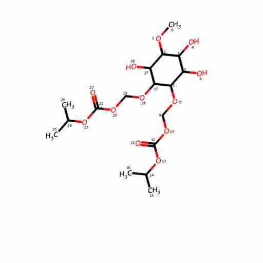 COC1C(O)C(O)C(OCOC(=O)OC(C)C)C(OCOC(=O)OC(C)C)C1O